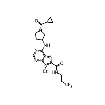 CCn1c(C(=O)NCCC(F)(F)F)nc2c(NC3CCN(C(=O)C4CC4)C3)ncnc21